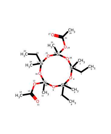 CC[Si]1(C)O[Si](C)(CC)O[Si](C)(OC(C)=O)O[Si](C)(CC)O[Si](C)(OC(C)=O)O1